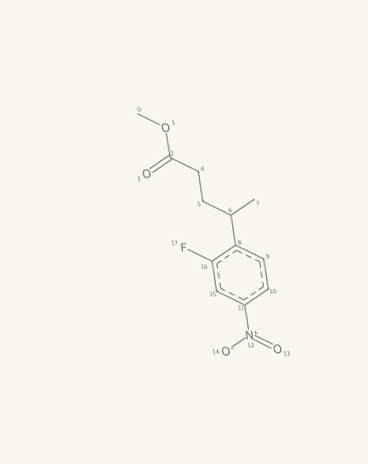 COC(=O)CCC(C)c1ccc([N+](=O)[O-])cc1F